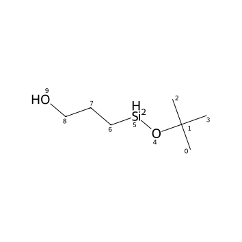 CC(C)(C)O[SiH2]CCCO